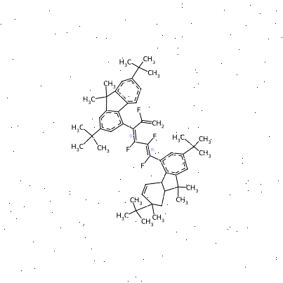 C=C(F)/C(=C(F)\C(F)=C(/F)c1cc(C(C)(C)C)cc2c1C1C=CC(C)(C(C)(C)C)CC1C2(C)C)c1cc(C(C)(C)C)cc2c1-c1ccc(C(C)(C)C)cc1C2(C)C